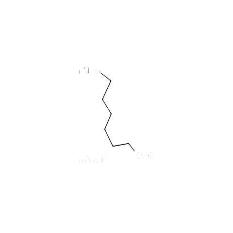 CCCCCCCCCCCCC[C@H](CC=O)CCCCCCC